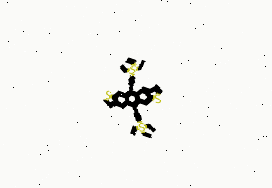 CCS(C#Cc1c2cc3ccsc3cc2c(C#CS(CC)(CC)CC)c2cc3ccsc3cc12)(CC)CC